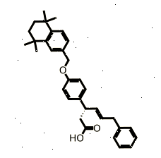 CC1(C)CCC(C)(C)c2cc(COc3ccc([C@H](C=CCc4ccccc4)CC(=O)O)cc3)ccc21